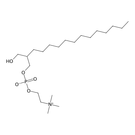 CCCCCCCCCCCCCC(CO)COP(=O)([O-])OCC[N+](C)(C)C